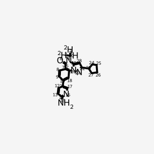 [2H]C([2H])([2H])n1c(=O)c2ccc(-c3ccc(N)nc3)cc2n2nc(C3CCCC3)cc12